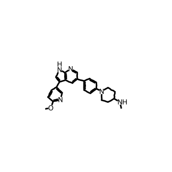 CNC1CCN(c2ccc(-c3cnc4[nH]cc(-c5ccc(OC)nc5)c4c3)cc2)CC1